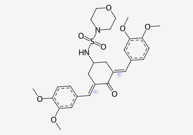 COc1ccc(/C=C2\CC(NS(=O)(=O)N3CCOCC3)C/C(=C\c3ccc(OC)c(OC)c3)C2=O)cc1OC